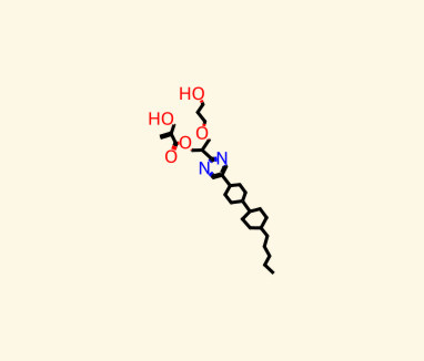 C=C(CO)C(=O)OCC(COCCCO)c1ncc(C2CCC(C3CCC(CCCCC)CC3)CC2)cn1